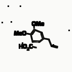 C=CCc1ccc(OC)c(OC)c1.CC(=O)O